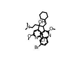 COc1cc(C(O)(CCN(C)C)C(CC2CCCCC2)c2cc3cc(Br)ccc3nc2OC)cc(Cl)n1